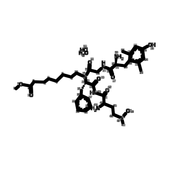 COC(=O)CCCCCCCN(C(=O)CNC(=O)[C@@H](N)Cc1c(C)cc(O)cc1C)[C@@H](Cc1ccccc1)C(=O)NC(=O)C(N)CC[S+](C)[O-].Cl.O